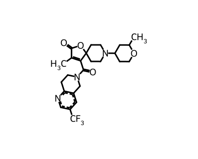 CC1=C(C(=O)N2CCc3ncc(C(F)(F)F)cc3C2)C2(CCN(C3CCOC(C)C3)CC2)OC1=O